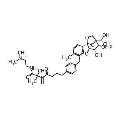 Cc1ccc([C@]23OC[C@]([C@@H](C)O)(O2)[C@@H](O)[C@H](O)[C@H]3O)cc1Cc1ccc(CCCC(=O)NC(C)(C)C(=O)NCCN(C)C)cc1